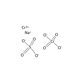 O=S(=O)([O-])[O-].[Cr+3].[Na+].[O]=[Cr](=[O])([O-])[O-]